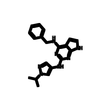 CC(C)n1cc(Nc2nc(NCc3ccccc3)c3cc[nH]c3n2)cn1